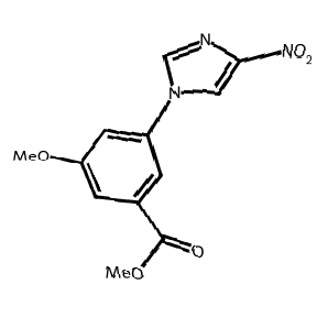 COC(=O)c1cc(OC)cc(-n2cnc([N+](=O)[O-])c2)c1